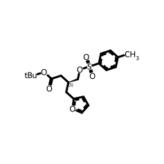 Cc1ccc(S(=O)(=O)OC[C@H](CC(=O)OC(C)(C)C)Cc2ccco2)cc1